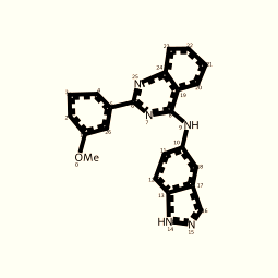 COc1cccc(-c2nc(Nc3ccc4[nH]ncc4c3)c3ccccc3n2)c1